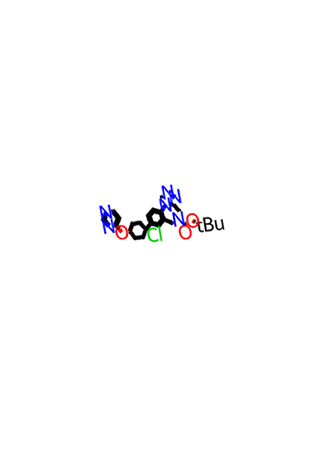 CC(C)(C)OC(=O)N1Cc2cc(C3(Cl)CCC(Oc4ccncn4)CC3)ccc2-n2cnnc2C1